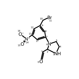 O=CC1NCCN1c1cc(CBr)cc([N+](=O)[O-])c1